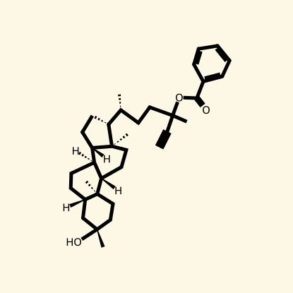 C#CC(C)(CC[C@@H](C)[C@H]1CC[C@H]2[C@@H]3CC[C@H]4C[C@@](C)(O)CC[C@]4(C)[C@H]3CC[C@]12C)OC(=O)c1ccccc1